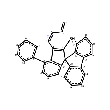 BC1=C(/C=C\C=C)c2c(-c3ccccc3)cccc2C12c1ccccc1-c1ccccc12